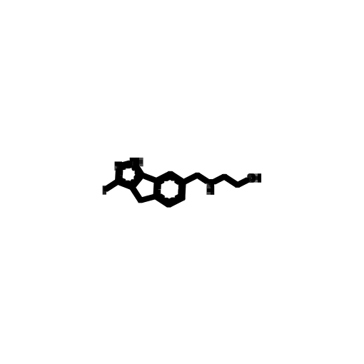 OCCNCc1ccc2c(c1)-c1[nH]nc(I)c1C2